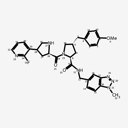 COc1ccc(C[C@@H]2C[C@@H](C(=O)NCc3ccc4c(c3)nnn4C)N(C(=O)[C@H]3CC(c4cccnc4F)CN3)C2)cc1